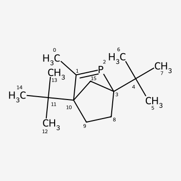 CC1=PC2(C(C)(C)C)CCC1(C(C)(C)C)C2